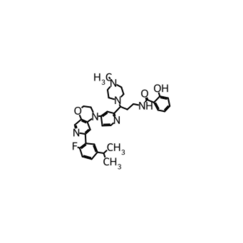 CC(C)c1ccc(F)c(-c2cc3c(cn2)OCCN3c2ccnc(C(CCNC(=O)c3ccccc3O)N3CCN(C)CC3)c2)c1